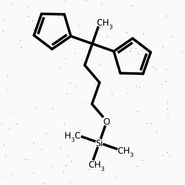 CC(CCCO[Si](C)(C)C)(C1=CC=CC1)C1=CC=CC1